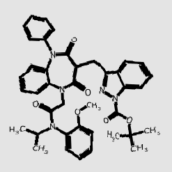 COc1ccccc1N(C(=O)CN1C(=O)C(Cc2nn(C(=O)OC(C)(C)C)c3ccccc23)C(=O)N(c2ccccc2)c2ccccc21)C(C)C